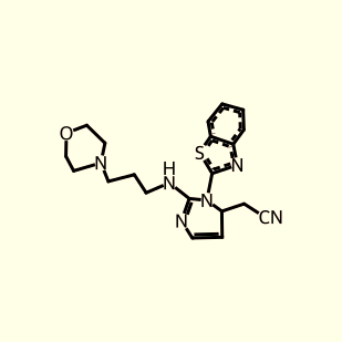 N#CCC1C=CN=C(NCCCN2CCOCC2)N1c1nc2ccccc2s1